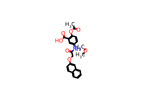 CC(=O)Oc1ccc(NC(=O)COc2ccc3ccccc3c2)cc1C(=O)O.COC